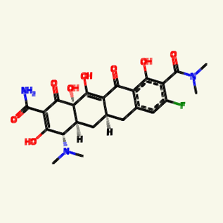 CN(C)C(=O)c1c(F)cc2c(c1O)C(=O)C1=C(O)[C@]3(O)C(=O)C(C(N)=O)=C(O)[C@@H](N(C)C)[C@@H]3C[C@@H]1C2